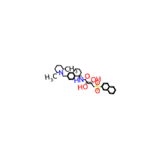 CC1CCCC(C)N1Cc1ccc2c(c1)CCC[C@H]2NC(=O)[C@H](O)[C@H](O)CS(=O)(=O)c1ccc2ccccc2c1